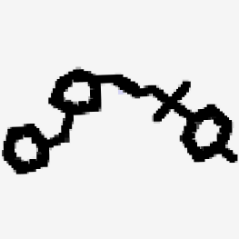 Cc1ccc(C(C)(C)C/C=C/c2cccc(Oc3ccccc3)c2)cc1